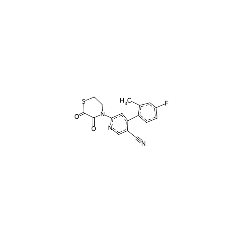 Cc1cc(F)ccc1-c1cc(N2CCSC(=O)C2=O)ncc1C#N